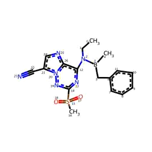 CCN(B(C)Cc1ccccc1)c1nc(S(C)(=O)=O)nn2c(C#N)cnc12